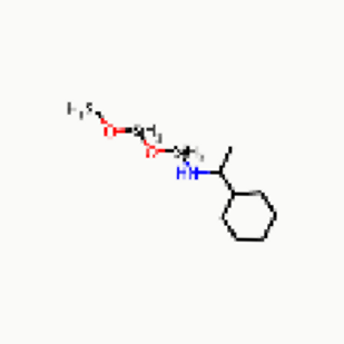 CC(N[SiH2]O[SiH2]O[SiH3])C1CCCCC1